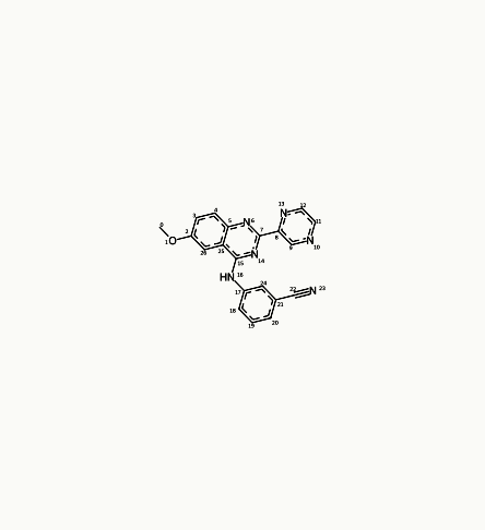 COc1ccc2nc(-c3cnccn3)nc(Nc3cccc(C#N)c3)c2c1